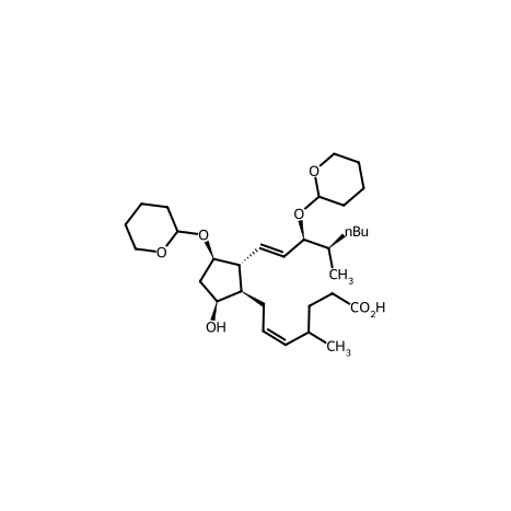 CCCC[C@@H](C)[C@@H](/C=C/[C@@H]1[C@@H](C/C=C\C(C)CCC(=O)O)[C@@H](O)C[C@H]1OC1CCCCO1)OC1CCCCO1